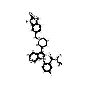 CC(C)N(C(=O)c1cc(F)ccc1-n1cc(C2CCCN(Cc3ccc4[nH]c(=O)[nH]c4c3)C2)c2ccncc21)C(C)C